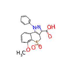 COc1cccc2c1S(=O)(=O)Cc1c(C(=O)O)nn(-c3ccccc3)c1-2